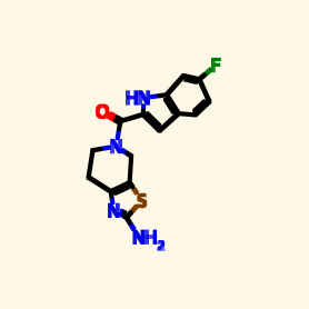 Nc1nc2c(s1)CN(C(=O)c1cc3ccc(F)cc3[nH]1)CC2